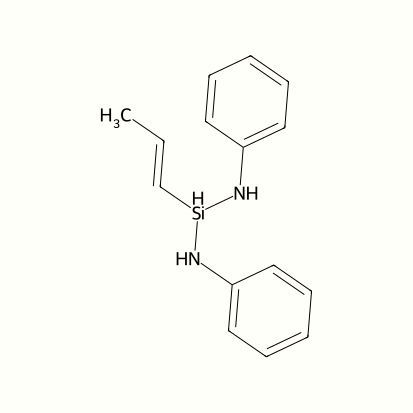 CC=C[SiH](Nc1ccccc1)Nc1ccccc1